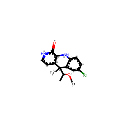 CCOC(C)C1(C(F)(F)F)c2cc(Cl)ccc2Nc2c1cc[nH]c2=O